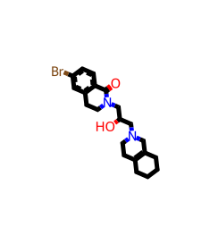 O=C1c2ccc(Br)cc2CCN1CC(O)CN1CCC2=C(CCCC2)C1